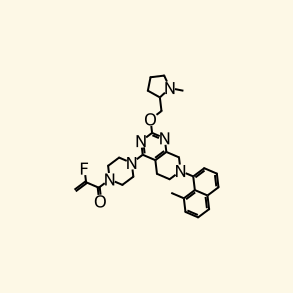 C=C(F)C(=O)N1CCN(c2nc(OCC3CCCN3C)nc3c2CCN(c2cccc4cccc(C)c24)C3)CC1